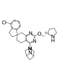 Clc1cccc2c1CCC21CCc2c(nc(OC[C@@H]3CCCN3)nc2N2CC3CC(C2)N3)C1